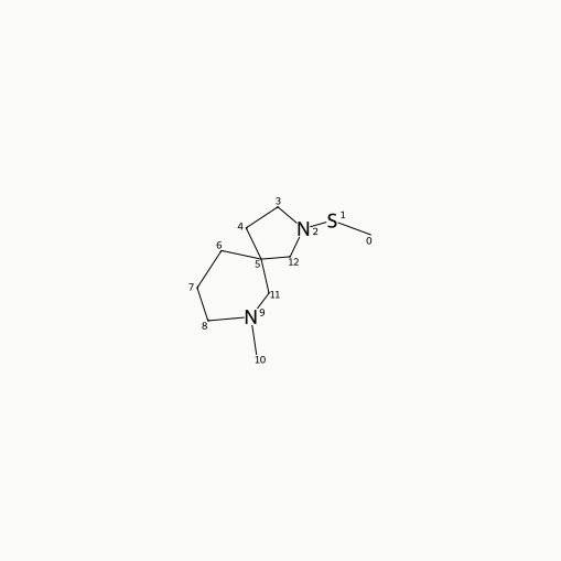 CSN1CCC2(CCCN(C)C2)C1